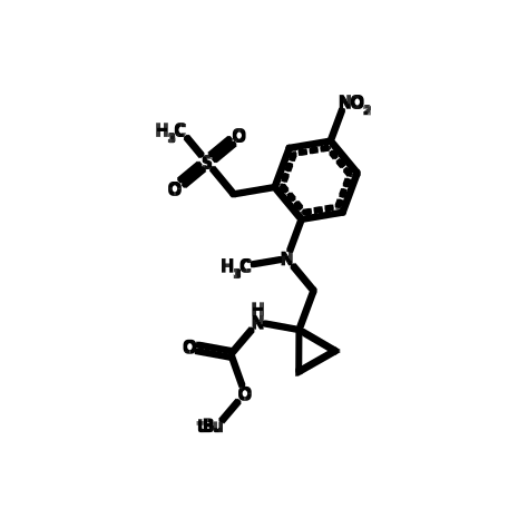 CN(CC1(NC(=O)OC(C)(C)C)CC1)c1ccc([N+](=O)[O-])cc1CS(C)(=O)=O